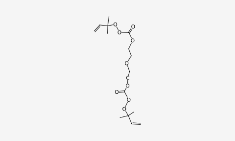 C=CC(C)(C)OOC(=O)OCCOCCOC(=O)OOC(C)(C)C=C